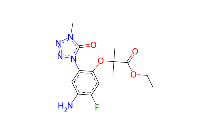 CCOC(=O)C(C)(C)Oc1cc(F)c(N)cc1-n1nnn(C)c1=O